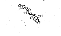 Cc1cc2c(cc1F)[C@@H](O)C[C@@H](C(=O)NC13CC(NC(=O)COc4ccc(Cl)c(F)c4)(C1)C3)O2